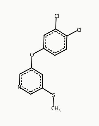 CSc1cncc(Oc2ccc(Cl)c(Cl)c2)c1